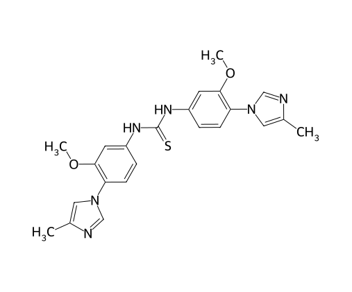 COc1cc(NC(=S)Nc2ccc(-n3cnc(C)c3)c(OC)c2)ccc1-n1cnc(C)c1